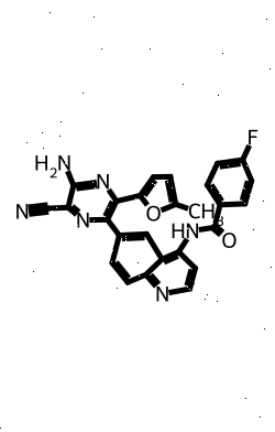 Cc1ccc(-c2nc(N)c(C#N)nc2-c2ccc3nccc(NC(=O)c4ccc(F)cc4)c3c2)o1